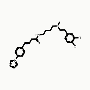 CN(CCCCNC(=O)C/C=C/c1ccc(-n2ccnc2)cc1)CCc1ccc(Cl)c(Cl)c1